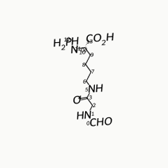 O=CNCC(=O)NCCCC[C@H](NP)C(=O)O